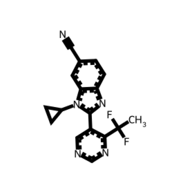 CC(F)(F)c1ncncc1-c1nc2ccc(C#N)cc2n1C1CC1